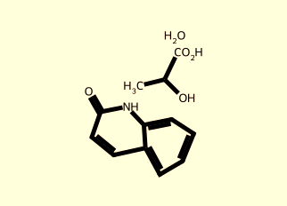 CC(O)C(=O)O.O.O=c1ccc2ccccc2[nH]1